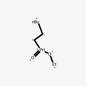 CCCCCC[PH](=O)OCC